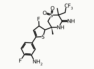 CC1(CC(F)(F)F)C(=N)N[C@](C)(C2SC(c3ccc(F)c(N)c3)=CC2F)CS1(=O)=O